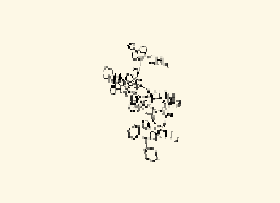 Cc1oc(=O)oc1COC(=O)[C@]1(C)[C@@H](OC(=O)N2CCCC2)CC[C@@]2(C)[C@H]1CC[C@]1(C)[C@@H]2C(=O)C=C2[C@@H]3C[C@@](C)(C(=O)OC(c4ccccc4)c4ccccc4)CC[C@]3(C)CC[C@]21C